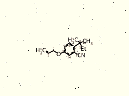 C=CCOc1ccc(C(C)(C)CC)c(C#N)c1